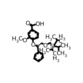 COc1cc(C(=O)O)ccc1O[C@@H](COC[Si](C(C)C)(C(C)C)C(C)C)c1ccccc1